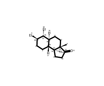 CC[C@@H]1CC[C@@H]2[C@H](CC[C@]3(C)C(=O)CC[C@@H]23)[C@H]1CC